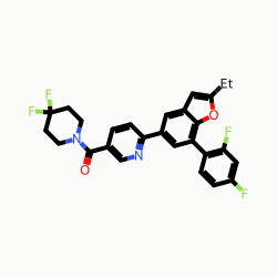 CCc1cc2cc(-c3ccc(C(=O)N4CCC(F)(F)CC4)cn3)cc(-c3ccc(F)cc3F)c2o1